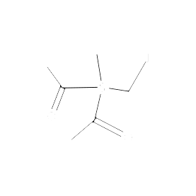 CC(=O)[Si](C)(CI)C(C)=O